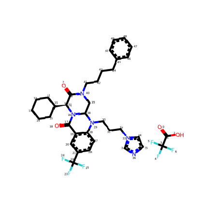 O=C(O)C(F)(F)F.O=C1[C@H](C2CCCCC2)N2C(=O)c3cc(C(F)(F)F)ccc3N(CCCn3ccnc3)C2CN1CCCCc1ccccc1